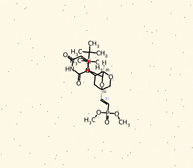 COP(=O)(/C=C/[C@]12CO[C@H](C(O[Si](C)(C)C(C)(C)C)C1)C(n1ccc(=O)[nH]c1=O)O2)OC